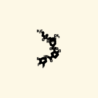 C=CCS(=O)(=O)NC[C@@]1(O)C2C[C@@H](S(=O)(=O)c3cc(C(=O)Nc4cc(F)c(F)c(F)c4)ccc3Cl)CC1[C@@H](C)C2